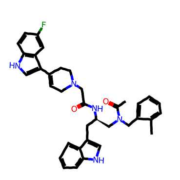 CC(=O)N(Cc1ccccc1C)C[C@@H](Cc1c[nH]c2ccccc12)NC(=O)CN1CC=C(c2c[nH]c3ccc(F)cc23)CC1